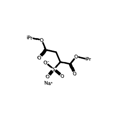 CC(C)OC(=O)CC(C(=O)OC(C)C)S(=O)(=O)[O-].[Na+]